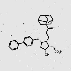 O=C(O)C[C@H]1[C@H](CCC(=O)C23CC4CC(CC(C4)C2)C3)[C@@H](Oc2ccc(-c3ccccc3)cc2)C[C@H]1O